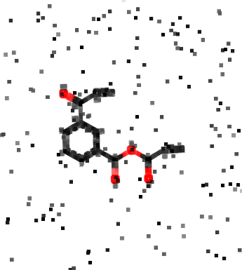 CCCCCCCCCC(=O)OC(=O)c1cccc(C(=O)OC)c1